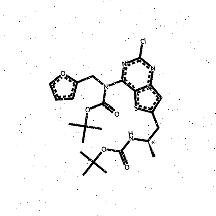 C[C@H](Cc1cc2nc(Cl)nc(N(Cc3ccco3)C(=O)OC(C)(C)C)c2s1)NC(=O)OC(C)(C)C